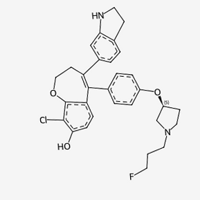 Oc1ccc2c(c1Cl)OCCC(c1ccc3c(c1)NCC3)=C2c1ccc(O[C@H]2CCN(CCCF)C2)cc1